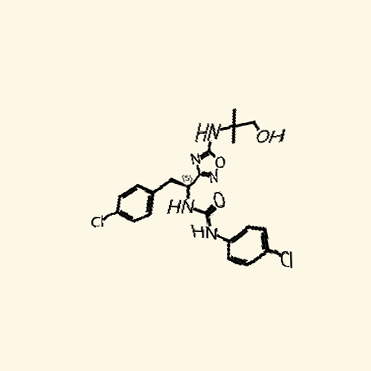 CC(C)(CO)Nc1nc([C@H](Cc2ccc(Cl)cc2)NC(=O)Nc2ccc(Cl)cc2)no1